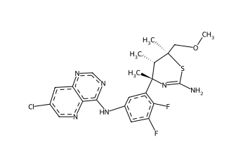 COC[C@@]1(C)SC(N)=N[C@](C)(c2cc(Nc3ncnc4cc(Cl)cnc34)cc(F)c2F)[C@@H]1C